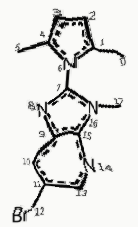 Cc1ccc(C)n1-c1nc2cc(Br)cnc2n1C